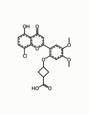 COc1cc(OC2CC(C(=O)O)C2)c(-c2cc(=O)c3c(O)ccc(Cl)c3o2)cc1OC